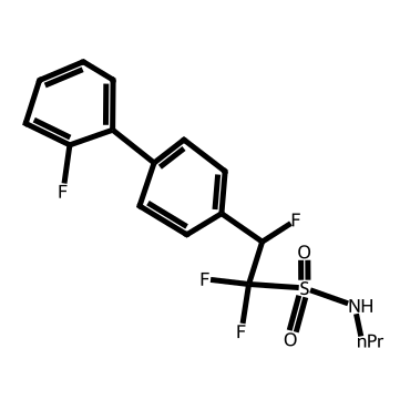 CCCNS(=O)(=O)C(F)(F)C(F)c1ccc(-c2ccccc2F)cc1